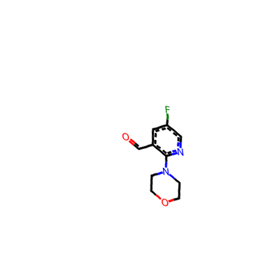 O=Cc1cc(F)cnc1N1CCOCC1